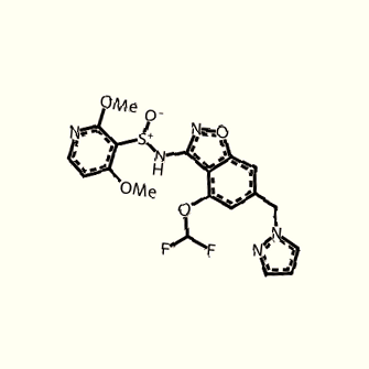 COc1ccnc(OC)c1[S+]([O-])Nc1noc2cc(Cn3cccn3)cc(OC(F)F)c12